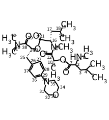 CNC(CC(C)C)C(=O)O[C@H](C)C(=O)N(C)[C@@H](CC(C)C)C(=O)O[C@H](Cc1ccc(N2CCOCC2)cc1)C(=O)N(C)C